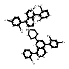 Fc1ccc(-c2cc(C3CCNCC3)nc3c(-c4ccccc4Cl)nccc23)c(Cl)c1.[O-][n+]1ccc2c(-c3ccc(F)cc3Cl)ccnc2c1-c1c(Cl)cccc1Cl